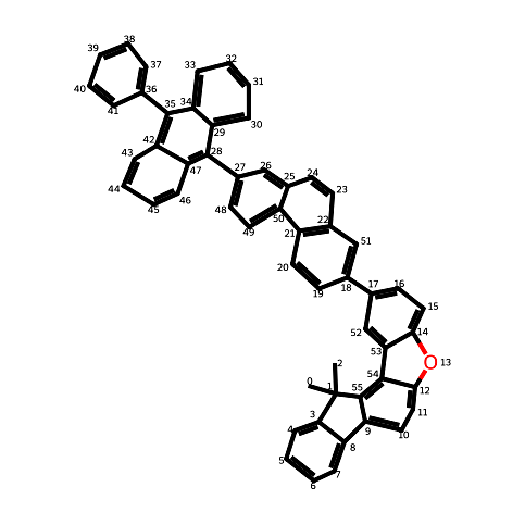 CC1(C)c2ccccc2-c2ccc3oc4ccc(-c5ccc6c(ccc7cc(-c8c9ccccc9c(-c9ccccc9)c9ccccc89)ccc76)c5)cc4c3c21